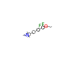 C/C=C/N1C(C)(C)CC(C2=CCC(c3ccc(-c4ccc(OCCCC)c(F)c4F)cc3)CC2)CC1(C)C